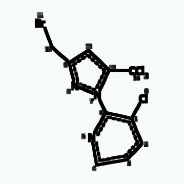 Clc1cccnc1-n1nc(CBr)cc1C(Cl)(Cl)Cl